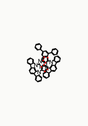 c1ccc(-c2cc(-c3ccccc3)cc(-c3nc(-n4c5ccccc5c5ccc6c7ccccc7n(-c7ccccc7)c6c54)nc(-n4c5ccccc5c5ccc6c7ccccc7n(-c7ccccc7)c6c54)n3)c2)cc1